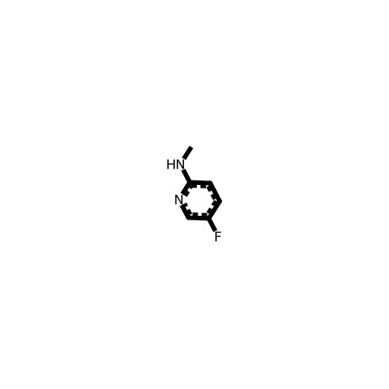 CNc1ccc(F)cn1